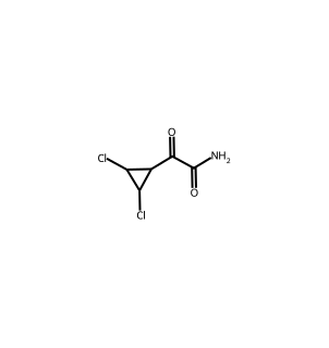 NC(=O)C(=O)C1C(Cl)C1Cl